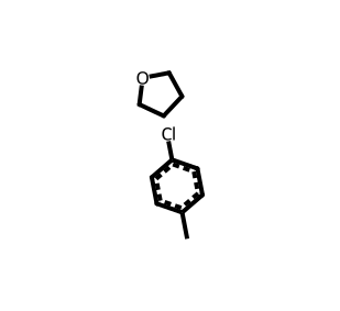 C1CCOC1.Cc1ccc(Cl)cc1